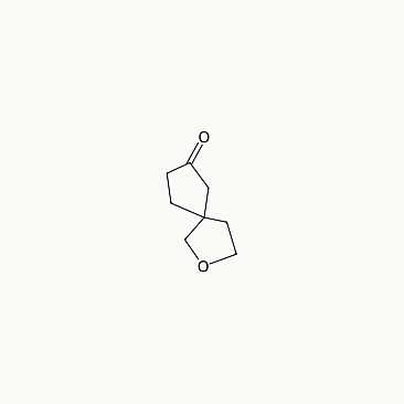 O=C1CCC2(CCOC2)C1